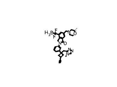 BC(F)(F)c1cc(CN2CCO[C@@H](C)C2)cc2c1CN(c1cccc(C3(Cc4nncn4C)CC(C#C)C3)c1)C2=O